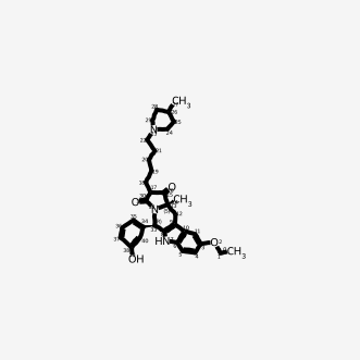 CCOc1ccc2[nH]c3c(c2c1)C[C@@]1(C)C(=O)C(CCCCCN2CCC(C)CC2)C(=O)N1[C@@H]3c1cccc(O)c1